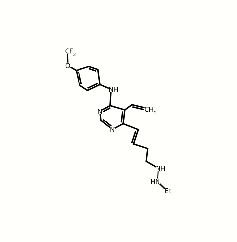 C=Cc1c(/C=C/CCNNCC)ncnc1Nc1ccc(OC(F)(F)F)cc1